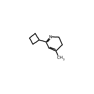 CC1=CC(C2CCC2)=NCC1